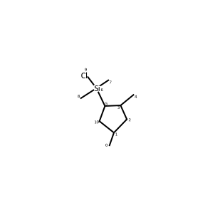 CC1CC(C)C([Si](C)(C)Cl)C1